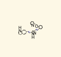 C1=CNC2=C(C=CC(/C=C/c3cc(/C=C/c4ccccc4OCc4ccccn4)n[nH]3)C=C2)C1